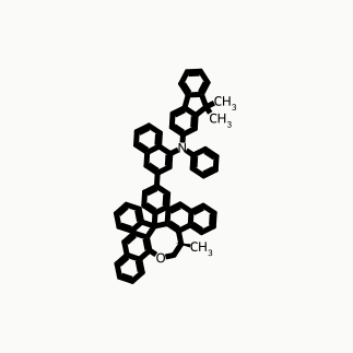 C[C@H]1COc2c(ccc3ccccc23)C(c2ccccc2)(c2ccc(-c3cc(N(c4ccccc4)c4ccc5c(c4)C(C)(C)c4ccccc4-5)c4ccccc4c3)cc2)c2ccc3ccccc3c21